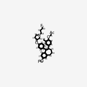 CC(=O)COc1ccc(C2=C(c3ccc(O[C@H]4CCN(CCCF)C4)cc3)c3ccc(OF)cc3CCC2)cc1C